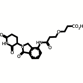 O=C(O)CCOCCC(=O)Nc1cccc2c1CN(C1CCC(=O)NC1=O)C2=O